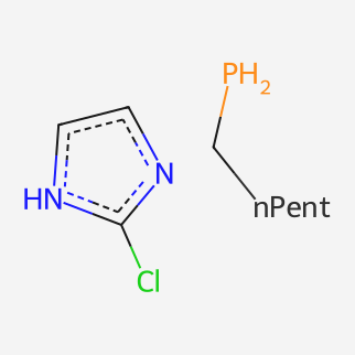 CCCCCCP.Clc1ncc[nH]1